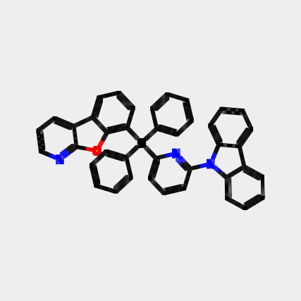 c1ccc([Si](c2ccccc2)(c2cccc(-n3c4ccccc4c4ccccc43)n2)c2cccc3c2oc2ncccc23)cc1